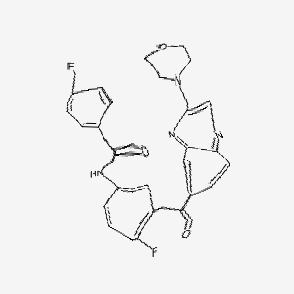 O=C(Nc1ccc(F)c(C(=O)c2ccc3ncc(N4CCOCC4)nc3c2)c1)c1ccc(F)cc1